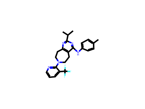 Cc1ccc(Nc2nc(C(C)C)nc3c2CCN(c2ncccc2C(F)(F)F)CC3)cc1